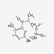 CC(C)C(=O)c1cc(Br)ccc1O.O=C(O)CI